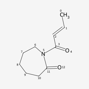 CC=CC(=O)N1CCCCCC1=O